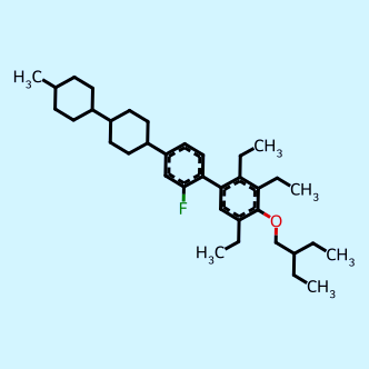 CCc1cc(-c2ccc(C3CCC(C4CCC(C)CC4)CC3)cc2F)c(CC)c(CC)c1OCC(CC)CC